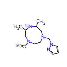 CCCCCCCCN1CCN(Cn2cccn2)CC(C)NC(C)C1